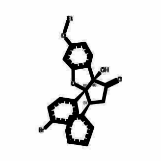 CCOc1ccc2c(c1)O[C@@]1(c3ccc(Br)cc3)[C@H](c3ccccc3)CC(=O)[C@@]21O